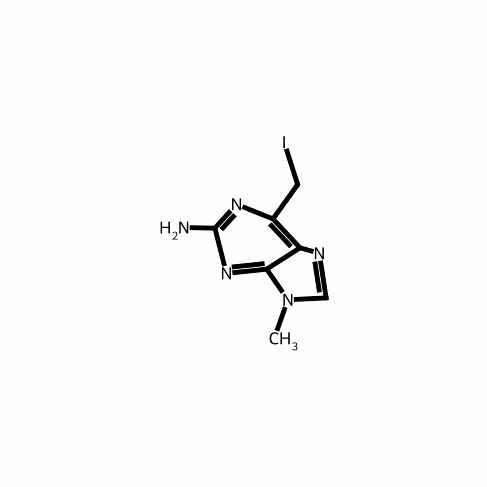 Cn1cnc2c(CI)nc(N)nc21